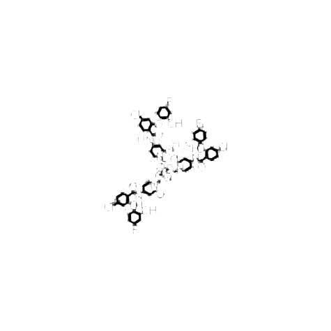 Cc1cc(F)ccc1Oc1cc(Cl)ccc1C(=O)Nc1ccn(COP(=O)(OCn2ccc(NC(=O)c3ccc(Cl)cc3Oc3ccc(F)cc3C)cc2=O)OCn2ccc(NC(=O)c3ccc(Cl)cc3Oc3ccc(F)cc3C)cc2=O)c(=O)c1